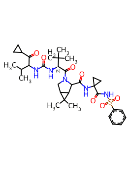 CC(C)C(NC(=O)N[C@H](C(=O)N1CC2C(C1C(=O)NC1(C(=O)NS(=O)(=O)c3ccccc3)CC1)C2(C)C)C(C)(C)C)C(=O)C1CC1